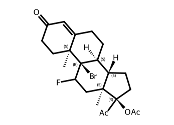 CC(=O)O[C@]1(C(C)=O)CC[C@H]2[C@@H]3CCC4=CC(=O)CC[C@]4(C)[C@@]3(Br)C(F)C[C@@]21C